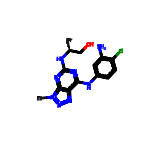 CCn1nnc2c(Nc3ccc(Cl)c(N)c3)nc(N[C@@H](CO)C(C)C)nc21